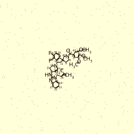 COc1cc(C(=O)N2CCC(CCN3CCC(Nc4nc5ccccc5n4CC=C(C)C)CC3)(c3ccc(F)c(F)c3)C2)cc(OC)c1OC